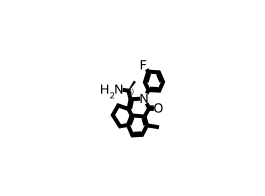 Cc1ccc2c3c(c([C@H](C)N)n(-c4cccc(F)c4)c(=O)c13)CCC2